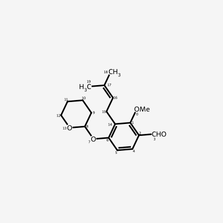 COc1c(C=O)ccc(OC2CCCCO2)c1CC=C(C)C